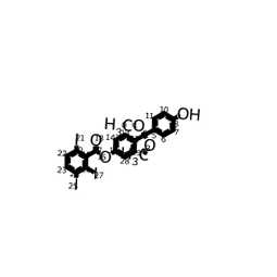 COC(OC)(c1ccc(O)cc1)c1ccc(OC(=O)c2c(I)ccc(I)c2I)cc1